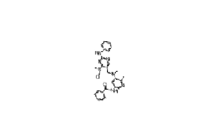 Cc1ncc(NC(=O)c2ccccc2)cc1N(C)Cc1cnc(Nc2ccccc2)nc1N(C)C=O